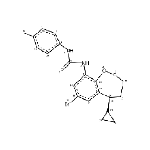 Cc1ccc(NC(=O)Nc2cc(Br)cc3c2OCCC[C@H]3C2CC2)cc1